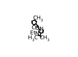 CCn1c(C)c(C)c2ccnc(OCc3cc(C)ccc3C)c21